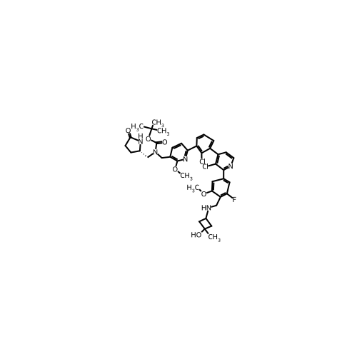 COc1cc(-c2nccc(-c3cccc(-c4ccc(CN(C[C@@H]5CCC(=O)N5)C(=O)OC(C)(C)C)c(OC)n4)c3Cl)c2Cl)cc(F)c1CNC1CC(C)(O)C1